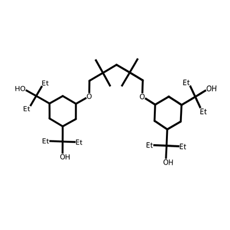 CCC(O)(CC)C1CC(OCC(C)(C)CC(C)(C)COC2CC(C(O)(CC)CC)CC(C(O)(CC)CC)C2)CC(C(O)(CC)CC)C1